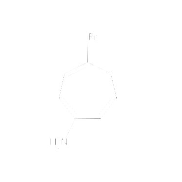 CC(C)C1=CC=C(N)C=C[C@H]1C